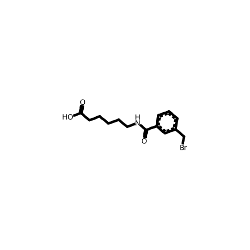 O=C(O)CCCCCNC(=O)c1cccc(CBr)c1